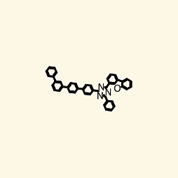 c1ccc(-c2cccc(-c3ccc(-c4ccc(-c5nc(-c6ccccc6)nc(-c6cccc7c6oc6ccccc67)n5)cc4)cc3)c2)cc1